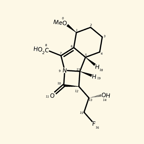 CO[C@H]1CCC[C@H]2C1=C(C(=O)O)N1C(=O)[C@H]([C@H](O)CF)[C@@H]21